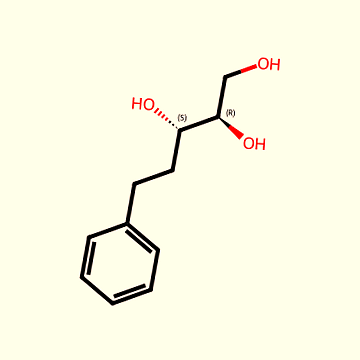 OC[C@@H](O)[C@@H](O)CCc1ccccc1